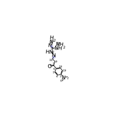 CN(C)c1ccc(C(=O)C/C=N/N/C(=N/N)NN)cc1